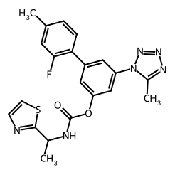 Cc1ccc(-c2cc(OC(=O)NC(C)c3nccs3)cc(-n3nnnc3C)c2)c(F)c1